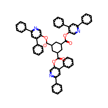 O=C(Oc1cnc(-c2ccccc2)cc1-c1ccccc1)C1CC(C(=O)Oc2cnc(-c3ccccc3)cc2-c2ccccc2)CC(C(=O)Oc2cnc(-c3ccccc3)cc2-c2ccccc2)C1